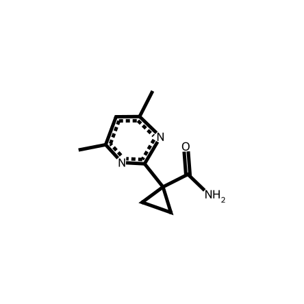 Cc1cc(C)nc(C2(C(N)=O)CC2)n1